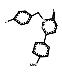 COc1ccc(-c2ccc(=O)n(Cc3ccc(Cl)cc3)n2)cc1